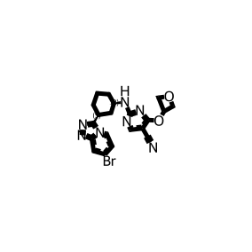 N#Cc1cnc(N[C@@H]2CCC[C@H](c3nnc4cc(Br)ccn34)C2)nc1OC1COC1